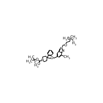 Cc1cc(COCC2(c3ccccc3)CCN(C(=O)OC(C)(C)C)CC2)cc2cn(COCC[Si](C)(C)C)nc12